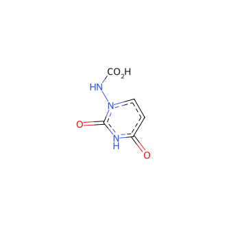 O=C(O)Nn1ccc(=O)[nH]c1=O